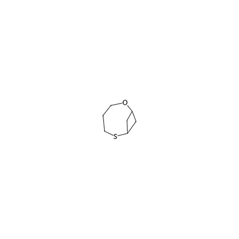 C1COC2CC(C2)SC1